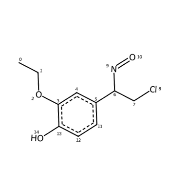 CCOc1cc(C(CCl)N=O)ccc1O